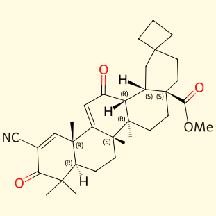 COC(=O)[C@]12CCC3(CCC3)C[C@H]1[C@H]1C(=O)C=C3[C@@]4(C)C=C(C#N)C(=O)C(C)(C)[C@@H]4CC[C@@]3(C)[C@]1(C)CC2